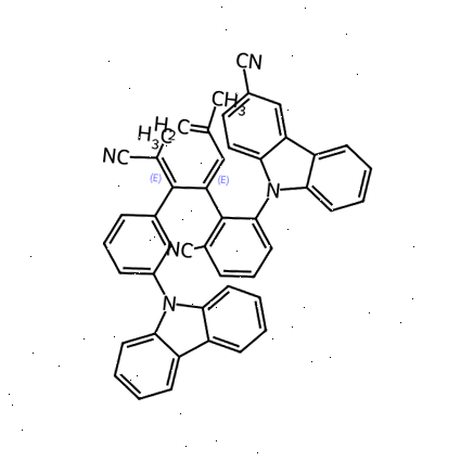 C=C(C)/C=C(\C(=C(/C)C#N)c1cccc(-n2c3ccccc3c3ccccc32)c1)c1c(C#N)cccc1-n1c2ccccc2c2cc(C#N)ccc21